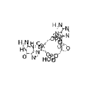 COC1C2COP(=O)(O)OC3C4OCC3(COP(=O)(O)OC1C(n1cnc3c(=O)[nH]c(N)nc31)O2)OC4n1cnc2c(N)ncnc21